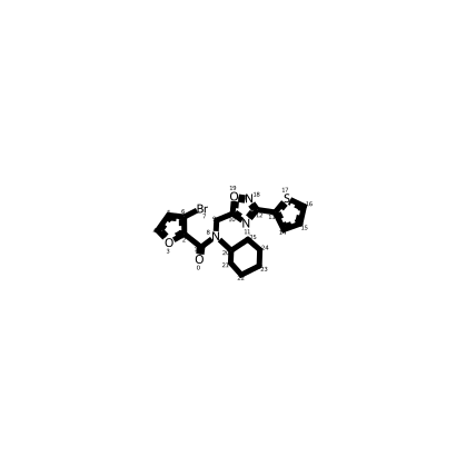 O=C(c1occc1Br)N(Cc1nc(-c2cccs2)no1)C1CCCCC1